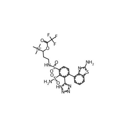 C[N+](C)(C)C(CCNS(=O)(=O)c1ccc(-c2cccc3sc(N)nc23)c(-c2nnn[nH]2)c1S(N)(=O)=O)OC(=O)C(F)(F)F